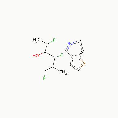 CC(F)C(O)C(F)C(C)CF.c1cc2sccc2cn1